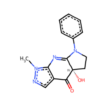 Cn1ncc2c1N=C1N(c3ccccc3)CC[C@@]1(O)C2=O